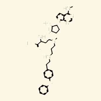 CNc1ncnc2c1ccn2[C@@H]1C[C@H](CN(CCCNCCc2ccc(Oc3ccccc3)cc2)CCC(N)C(=O)O)[C@@H](O)[C@H]1O